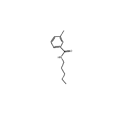 CCCCCNC(=O)c1cccc(C)c1